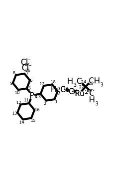 C1CCC(P(C2CCCCC2)C2CCCCC2)CC1.C=[C]=[Ru+2][C](C)(C)C.[Cl-].[Cl-]